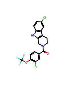 O=C(c1ccc(OC(F)(F)F)c(Cl)c1)N1CCc2c([nH]c3ccc(Cl)cc23)C1